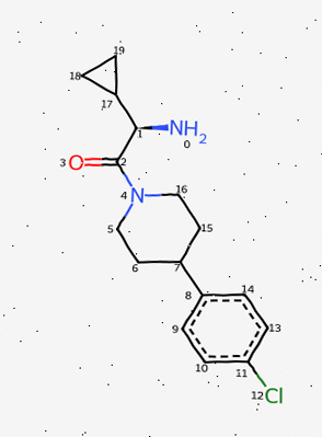 N[C@@H](C(=O)N1CCC(c2ccc(Cl)cc2)CC1)C1CC1